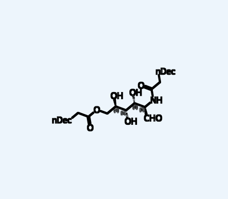 CCCCCCCCCCCC(=O)N[C@@H](C=O)[C@@H](O)[C@H](O)[C@H](O)COC(=O)CCCCCCCCCCC